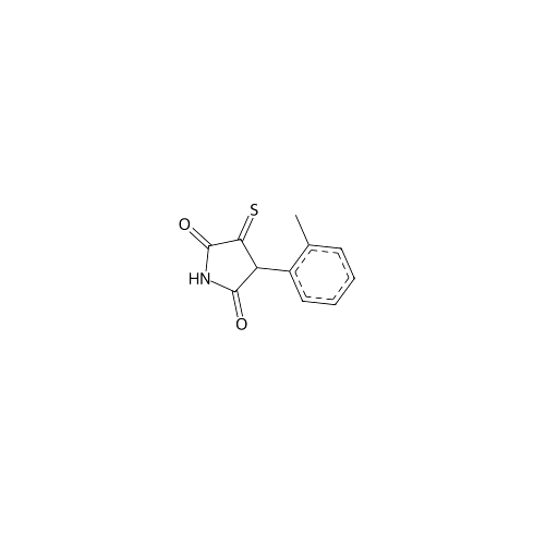 Cc1ccccc1C1C(=O)NC(=O)C1=S